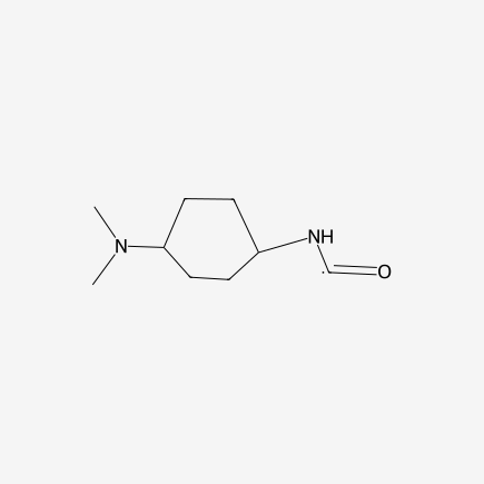 CN(C)C1CCC(N[C]=O)CC1